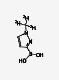 [2H]C([2H])([2H])n1ccc(B(O)O)n1